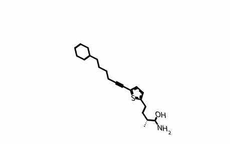 C[C@H](CCc1ccc(C#CCCCCC2CCCCC2)s1)C(N)O